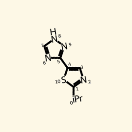 CC(C)c1ncc(-c2nc[nH]n2)s1